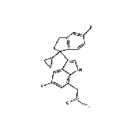 C[S+]([O-])Cc1cc(F)cc2c(C3(C4CC4)CCc4cc(F)ccc43)c[nH]c12